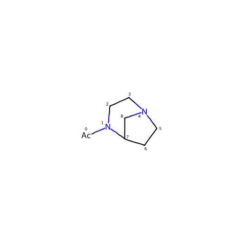 CC(=O)N1CCN2CCC1C2